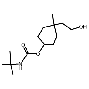 CC1(CCO)CCC(OC(=O)NC(C)(C)C)CC1